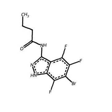 CCCC(=O)Nc1n[nH]c2c(F)c(Br)c(F)c(F)c12